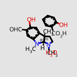 CN1CC[C@@]2(C)c3cc(O)c(C=O)cc3N(C)[C@@H]12.O.O=C(O)c1ccccc1O